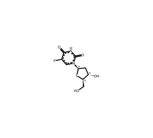 O=c1[nH]c(=O)n([C@H]2C[C@H](O)[C@@H](CO)S2)cc1F